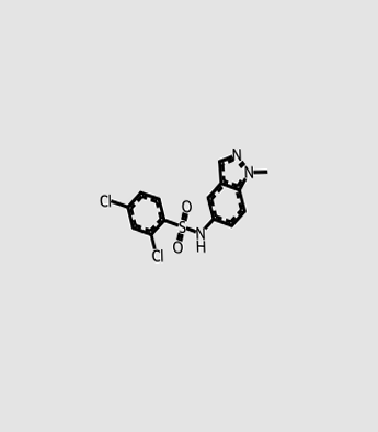 Cn1ncc2cc(NS(=O)(=O)c3ccc(Cl)cc3Cl)ccc21